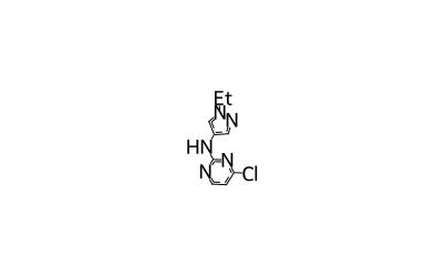 CCn1cc(Nc2nccc(Cl)n2)cn1